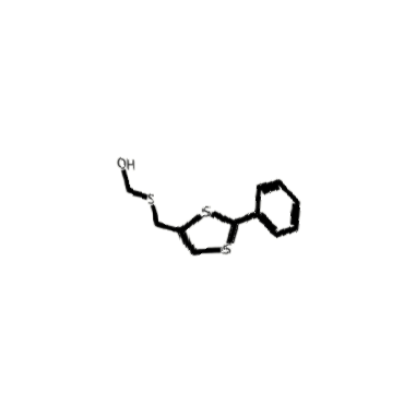 OCSCC1CSC(c2ccccc2)S1